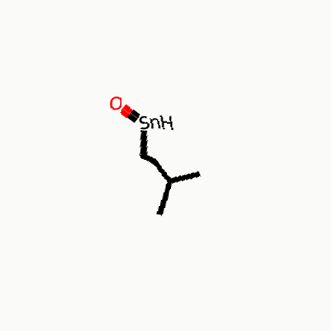 CC(C)[CH2][SnH]=[O]